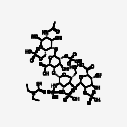 CC(=O)N[C@@H]1[C@@H](O)[C@H](O[C@@H]2O[C@H](C(=O)O)[C@@H](O[C@@H]3O[C@H](CO)[C@@H](O[C@H]4O[C@@H](C(=O)O)[C@H](O)[C@@H](O)[C@@H]4OS(=O)(=O)O)[C@H](OS(=O)(=O)O)[C@H]3NS(=O)(=O)O)[C@H](O)[C@H]2OS(=O)(=O)O)[C@H](COS(=O)(=O)O)O[C@H]1O.CCN(CC)C(=S)S